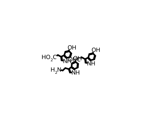 NCCc1c[nH]c2ccc(O)cc12.O=C(O)Cc1c[nH]c2ccc(O)cc12.O=CCc1c[nH]c2ccc(O)cc12